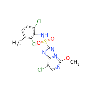 COc1ncc(Cl)c2nc(S(=O)(=O)Nc3c(Cl)ccc(C)c3Cl)nn12